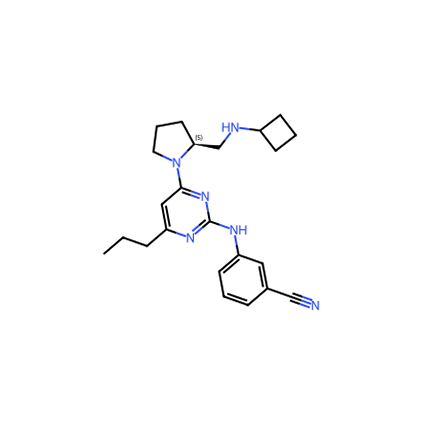 CCCc1cc(N2CCC[C@H]2CNC2CCC2)nc(Nc2cccc(C#N)c2)n1